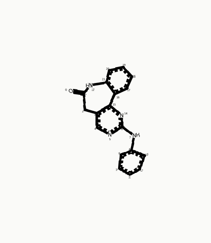 O=C1Cc2cnc(Nc3ccccc3)nc2-c2ccccc2N1